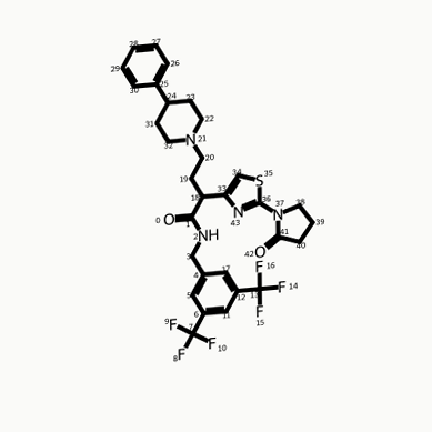 O=C(NCc1cc(C(F)(F)F)cc(C(F)(F)F)c1)C(CCN1CCC(c2ccccc2)CC1)c1csc(N2CCCC2=O)n1